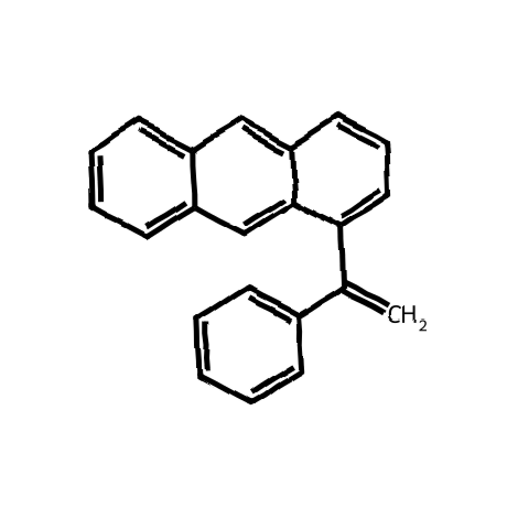 C=C(c1ccccc1)c1cccc2cc3ccccc3cc12